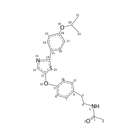 CC(=O)NCCc1ccc(Oc2cnc(-c3ccc(OC(C)C)cc3)s2)cc1